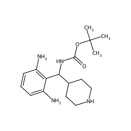 CC(C)(C)OC(=O)NC(c1c(N)cccc1N)C1CCNCC1